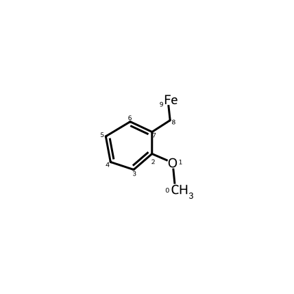 COc1ccccc1[CH2][Fe]